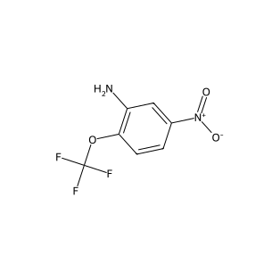 Nc1cc([N+](=O)[O-])ccc1OC(F)(F)F